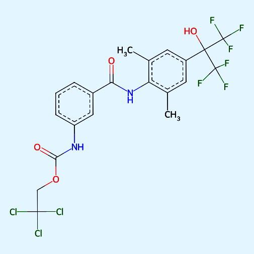 Cc1cc(C(O)(C(F)(F)F)C(F)(F)F)cc(C)c1NC(=O)c1cccc(NC(=O)OCC(Cl)(Cl)Cl)c1